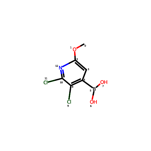 COc1cc(B(O)O)c(Cl)c(Cl)n1